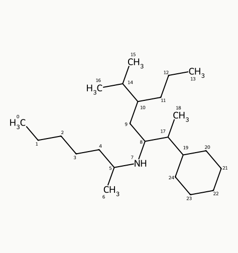 CCCCCC(C)NC(CC(CCC)C(C)C)C(C)C1CCCCC1